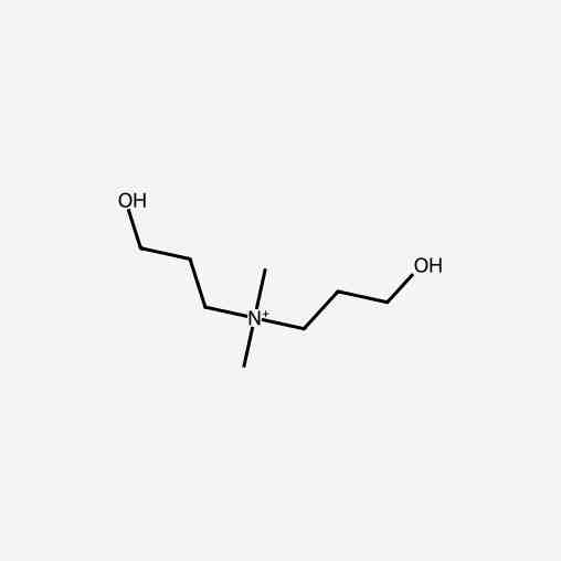 C[N+](C)(CCCO)CCCO